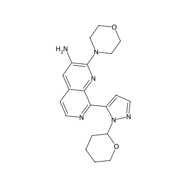 Nc1cc2ccnc(-c3ccnn3C3CCCCO3)c2nc1N1CCOCC1